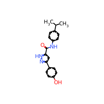 CC(C)c1ccc(NC(=O)c2cc(-c3ccc(O)cc3)n[nH]2)cc1